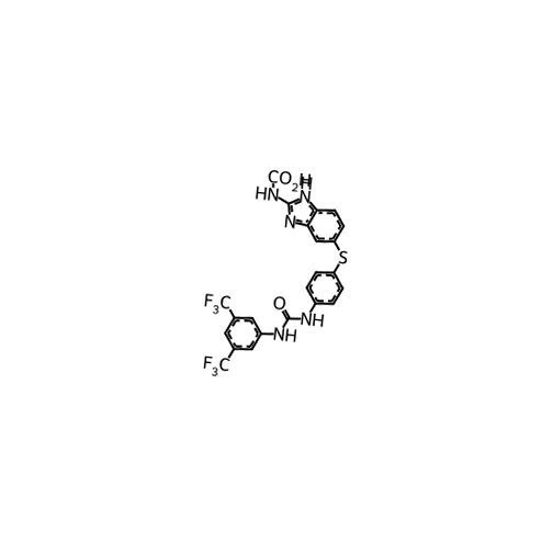 O=C(O)Nc1nc2cc(Sc3ccc(NC(=O)Nc4cc(C(F)(F)F)cc(C(F)(F)F)c4)cc3)ccc2[nH]1